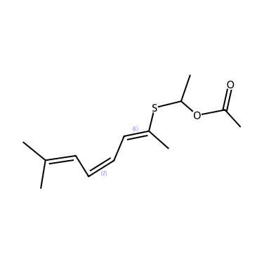 CC(=O)OC(C)S/C(C)=C/C=C\C=C(C)C